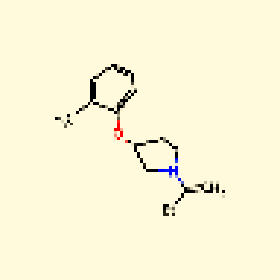 C=C(CC)N1CC[C@@H](Oc2ccccc2C(F)(F)F)C1